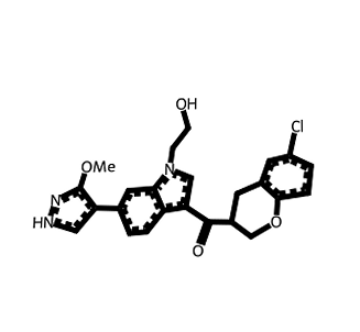 COc1n[nH]cc1-c1ccc2c(C(=O)C3COc4ccc(Cl)cc4C3)cn(CCO)c2c1